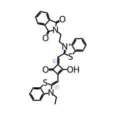 CCN1/C(=C/C2=C(O)C(=C\c3sc4ccccc4[n+]3CCN3C(=O)c4ccccc4C3=O)/C2=O)Sc2ccccc21